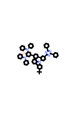 CC(C)(C)c1ccc2c(c1)c1ccccc1n2-c1ccc(-c2nc(-c3ccccc3)nc(-c3ccccc3)n2)cc1-c1ccc(-c2cc3c4c(c2)N(c2ccccc2)c2ccccc2B4c2ccccc2N3c2ccccc2)cc1